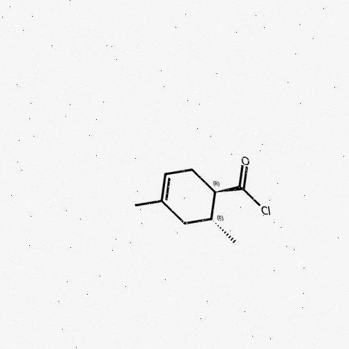 CC1=CC[C@@H](C(=O)Cl)[C@H](C)C1